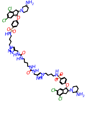 N[C@@H]1CCCN([C@H]2Cc3c(Cl)cc(Cl)cc3[C@@H]2Oc2ccc(S(=O)(=O)NCCCCn3cc(CNC(=O)NCCCCNC(=O)NCc4cn(CCCCNS(=O)(=O)c5ccc(O[C@H]6c7cc(Cl)cc(Cl)c7C[C@@H]6N6CCC[C@@H](N)C6)cc5)nn4)nn3)cc2)C1